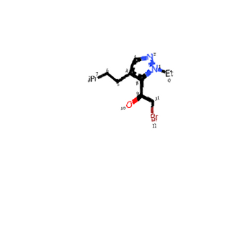 CCn1ncc(CCC(C)C)c1C(=O)CBr